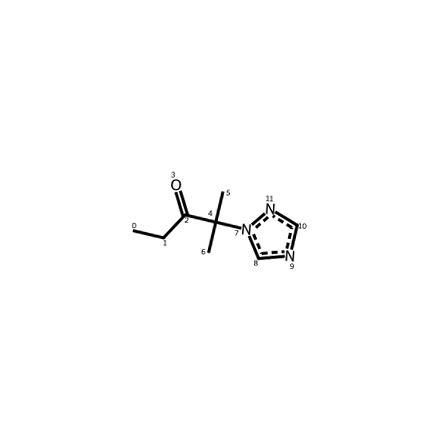 CCC(=O)C(C)(C)n1cncn1